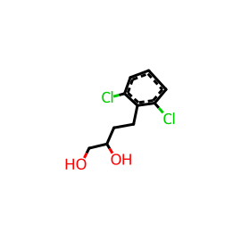 OCC(O)CCc1c(Cl)cccc1Cl